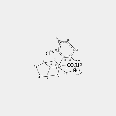 O=C(O)N1CC2CCC(C1)C2C(C[N+](=O)[O-])c1c(C(F)(F)F)ccnc1Cl